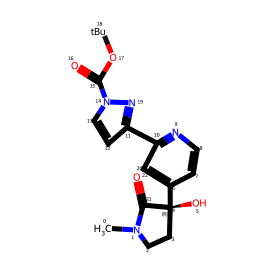 CN1CC[C@@](O)(c2ccnc(-c3ccn(C(=O)OC(C)(C)C)n3)c2)C1=O